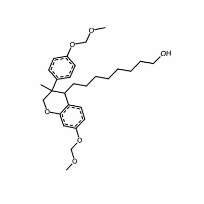 COCOc1ccc(C2(C)COc3cc(OCOC)ccc3C2CCCCCCCCO)cc1